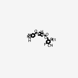 CCOc1cc(C#N)c(F)cc1COC(=O)N1CC2=CN(C(=O)c3ccc4[nH]nnc4c3)C[C@H]2C1